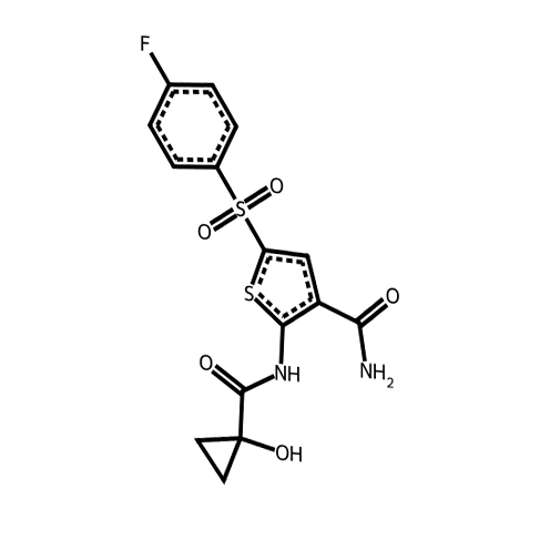 NC(=O)c1cc(S(=O)(=O)c2ccc(F)cc2)sc1NC(=O)C1(O)CC1